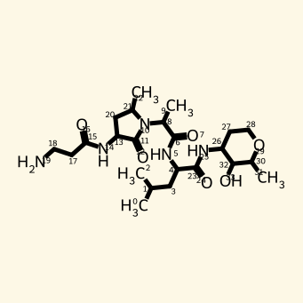 CC(C)CC(NC(=O)C(C)N1C(=O)C(NC(=O)CCN)CC1C)C(=O)NC1CCOC(C)C1O